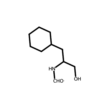 O=[C]NC(CO)CC1CCCCC1